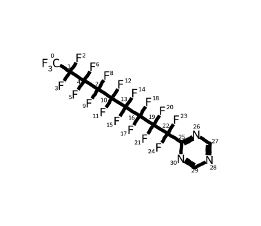 FC(F)(F)C(F)(F)C(F)(F)C(F)(F)C(F)(F)C(F)(F)C(F)(F)C(F)(F)C(F)(F)c1ncncn1